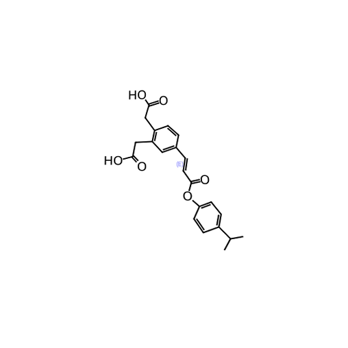 CC(C)c1ccc(OC(=O)/C=C/c2ccc(CC(=O)O)c(CC(=O)O)c2)cc1